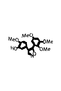 COc1cc(OC)c(OC)c(-c2oncc2-c2ccc(OC)c(O)c2)c1